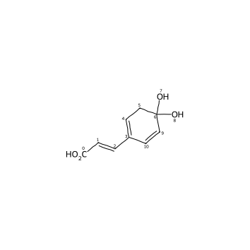 O=C(O)/C=C/C1=CCC(O)(O)C=C1